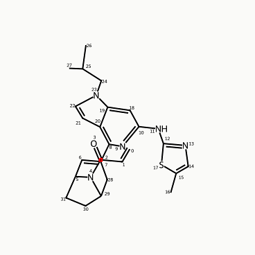 C=CC(=O)N1C2C=C(c3nc(Nc4ncc(C)s4)cc4c3ccn4CC(C)C)CC1CC2